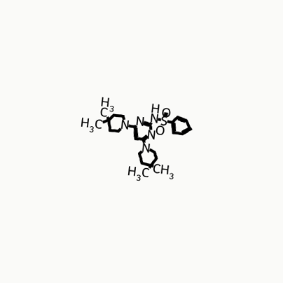 CC1(C)CCN(c2cc(N3CCC(C)(C)CC3)nc(NS(=O)(=O)c3ccccc3)n2)CC1